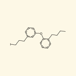 CCCCc1ccccc1Oc1cccc(CCCI)c1